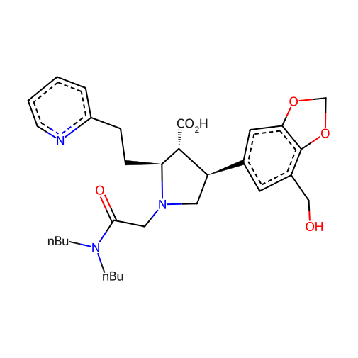 CCCCN(CCCC)C(=O)CN1C[C@H](c2cc(CO)c3c(c2)OCO3)[C@@H](C(=O)O)[C@@H]1CCc1ccccn1